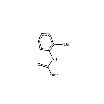 COC(=O)Nc1ccccc1C(C)(C)C